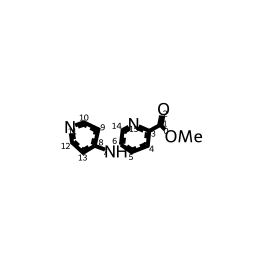 COC(=O)c1ccc(Nc2ccncc2)cn1